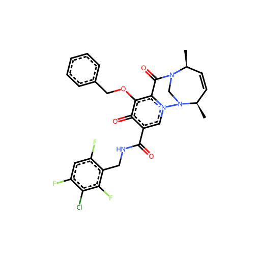 C[C@@H]1C=C[C@H](C)N2CN1n1cc(C(=O)NCc3c(F)cc(F)c(Cl)c3F)c(=O)c(OCc3ccccc3)c1C2=O